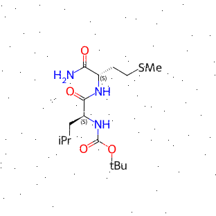 CSCC[C@H](NC(=O)[C@H](CC(C)C)NC(=O)OC(C)(C)C)C(N)=O